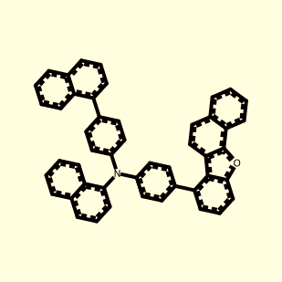 c1ccc2c(-c3ccc(N(c4ccc(-c5cccc6oc7c8ccccc8ccc7c56)cc4)c4cccc5ccccc45)cc3)cccc2c1